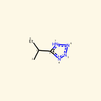 CCC(C)c1nnn[nH]1